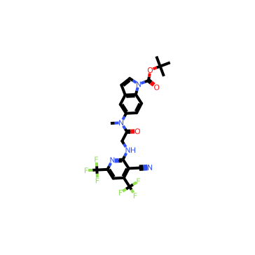 CN(C(=O)CNc1nc(C(F)(F)F)cc(C(F)(F)F)c1C#N)c1ccc2c(ccn2C(=O)OC(C)(C)C)c1